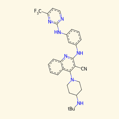 CC(C)(C)NC1CCN(c2c(C#N)c(Nc3cccc(Nc4nccc(C(F)(F)F)n4)c3)nc3ccccc23)CC1